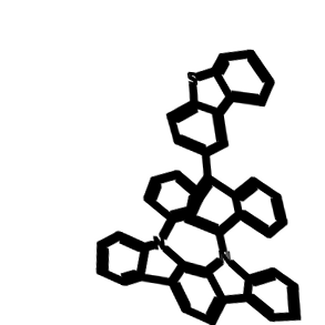 c1ccc(-n2c3ccccc3c3ccc4c5ccccc5n(-c5ccc(-c6ccc7sc8ccccc8c7c6)c6ccccc56)c4c32)cc1